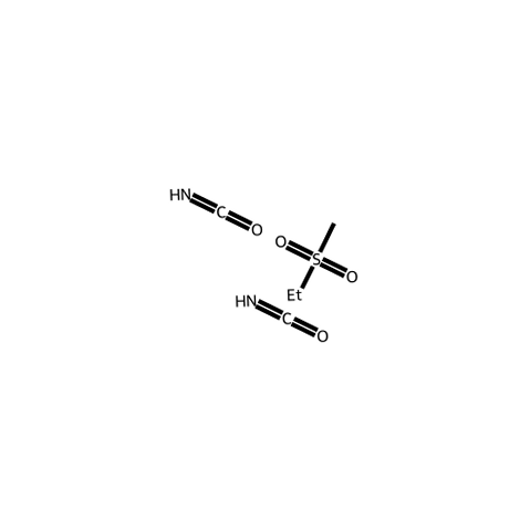 CCS(C)(=O)=O.N=C=O.N=C=O